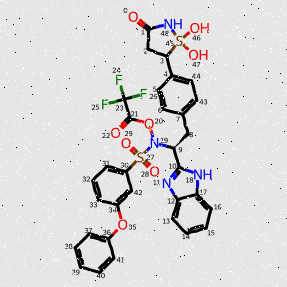 O=C1CC(c2ccc(C[C@@H](c3nc4ccccc4[nH]3)N(OC(=O)C(F)(F)F)S(=O)(=O)c3cccc(Oc4ccccc4)c3)cc2)S(O)(O)N1